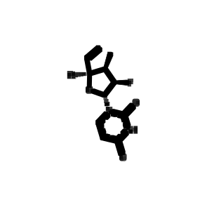 C=C[C@]1(CC)O[C@@H](n2ccc(=O)[nH]c2=O)[C@H](F)[C@@H]1C